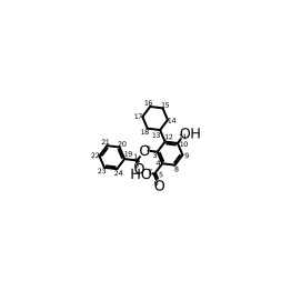 O=C(Oc1c(C(=O)O)ccc(O)c1C1CCCCC1)c1ccccc1